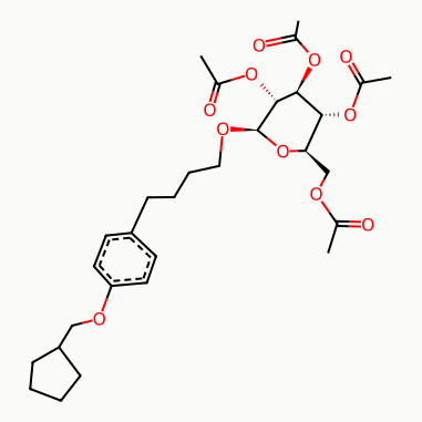 CC(=O)OC[C@H]1O[C@@H](OCCCCc2ccc(OCC3CCCC3)cc2)[C@H](OC(C)=O)[C@@H](OC(C)=O)[C@@H]1OC(C)=O